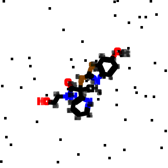 CCOc1ccc2nc(SC(C)(C(=O)NCCO)c3ccccn3)sc2c1